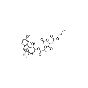 CCCCOC(=O)C[C@H](OC(C)=O)C(=O)O[C@@H](C)C(=O)OC1=CC[C@@]2(O)[C@H]3Cc4ccc(OC)c5c4[C@@]2(CCN3C)[C@H]1O5